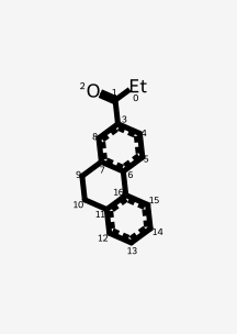 CCC(=O)c1ccc2c(c1)CCc1ccccc1-2